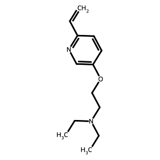 C=Cc1ccc(OCCN(CC)CC)cn1